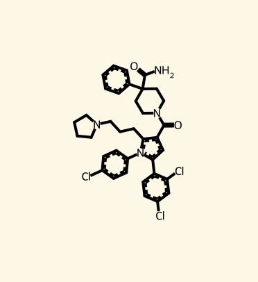 NC(=O)C1(c2ccccc2)CCN(C(=O)c2cc(-c3ccc(Cl)cc3Cl)n(-c3ccc(Cl)cc3)c2CCCN2CCCC2)CC1